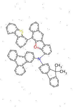 CC1(C)c2ccccc2-c2ccc(N(c3ccc4c5ccccc5c5ccccc5c4c3)c3cccc4c3oc3c(-c5cccc6c5sc5ccccc56)c5ccccc5cc34)cc21